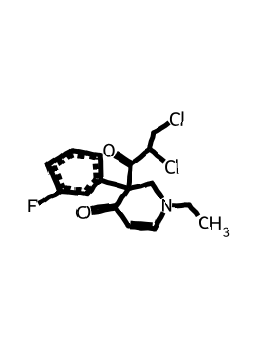 CCN1C=CC(=O)C(C(=O)C(Cl)CCl)(c2cccc(F)c2)C1